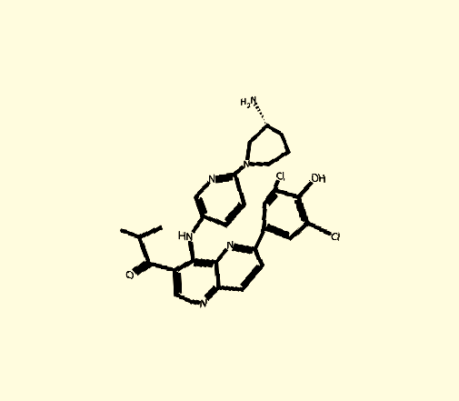 CC(C)C(=O)c1cnc2ccc(-c3cc(Cl)c(O)c(Cl)c3)nc2c1Nc1ccc(N2CCC[C@@H](N)C2)nc1